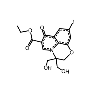 CCOC(=O)c1cn2c3c(cc(I)cc3c1=O)OCC2(CO)CO